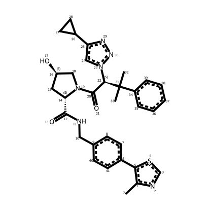 Cc1ncsc1-c1ccc(CNC(=O)[C@@H]2C[C@@H](O)CN2C(=O)[C@@H](n2cc(C3CC3)nn2)C(C)(C)c2ccccc2)cc1